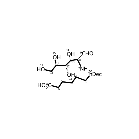 CCCCCCCCCCCCCCCC(=O)O.N[C@@H](C=O)[C@@H](O)[C@H](O)[C@H](O)CO